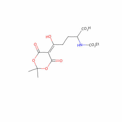 CCOC(=O)NC(CCC(O)=C1C(=O)OC(C)(C)OC1=O)C(=O)O